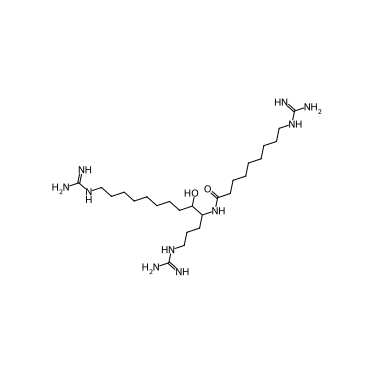 N=C(N)NCCCCCCCCC(=O)NC(CCCNC(=N)N)C(O)CCCCCCCCNC(=N)N